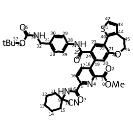 COC(=O)c1nc(C(=O)NC2(C#N)CCCCC2)ccc1-c1cc2c(cc1C(=O)Nc1ccc(CNC(=O)OC(C)(C)C)cc1)-c1sccc1CCO2